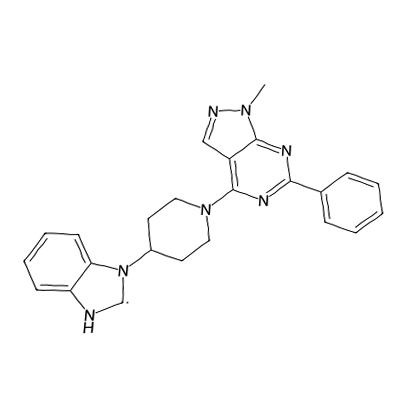 Cn1ncc2c(N3CCC(N4[CH]Nc5ccccc54)CC3)nc(-c3ccccc3)nc21